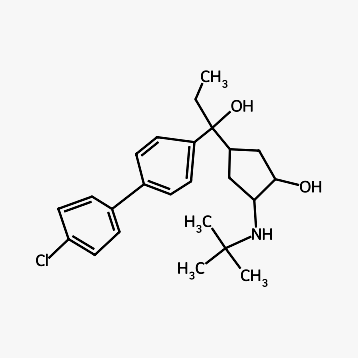 CCC(O)(c1ccc(-c2ccc(Cl)cc2)cc1)C1CC(O)C(NC(C)(C)C)C1